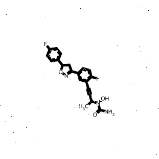 CC(C#Cc1cc(C2=NOC(c3ccc(F)cc3)C2)ccc1F)N(O)C(N)=O